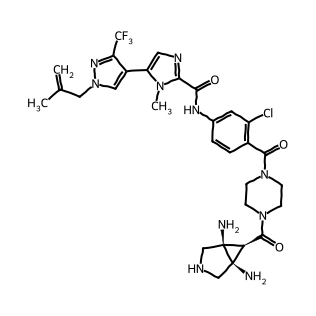 C=C(C)Cn1cc(-c2cnc(C(=O)Nc3ccc(C(=O)N4CCN(C(=O)[C@H]5[C@]6(N)CNC[C@]56N)CC4)c(Cl)c3)n2C)c(C(F)(F)F)n1